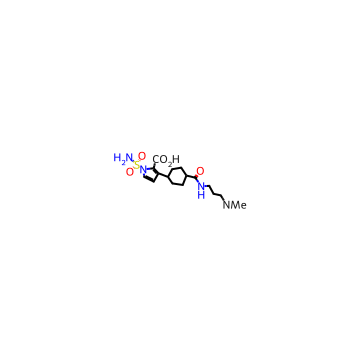 CNCCCNC(=O)C1CCC(c2ccn(S(N)(=O)=O)c2C(=O)O)CC1